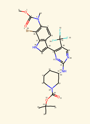 COC(=O)N(C)c1ccc2c(-c3nc(N[C@H]4CCCN(C(=O)OC(C)(C)C)C4)ncc3C(F)(F)F)c[nH]c2c1Br